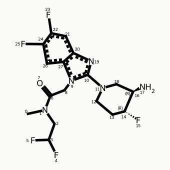 CN(CC(F)F)C(=O)Cn1c(N2CC[C@@H](F)[C@H](N)C2)nc2cc(F)c(F)cc21